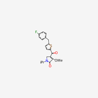 COC1=C(C(=O)c2ccc(Cc3ccc(F)cc3)s2)CN(C(C)C)C1=O